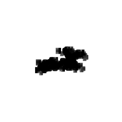 COCCOCCNC(=O)[C@@H](CCCCNC(=O)CCC(C(=O)OC(C)(C)C)N1CCN(CC(=O)OC(C)(C)C)CCN(CC(=O)OC(C)(C)C)CCN(CC(=O)OC(C)(C)C)CC1)NC(=O)CC(C)(C)COCC(C)(C)CC(=O)Oc1c(F)c(F)cc(F)c1F